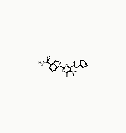 Cc1nc(-n2ncc3c(C(N)=O)cccc32)nc(NCc2ccccc2)c1N(C)C